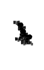 CCOC(=O)c1[nH]c(C2CCCN2C(=O)OC(C)(C)C)nc1-c1ccc(C(=O)Nc2ccc(C)cn2)cc1